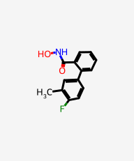 Cc1cc(-c2ccccc2C(=O)NO)ccc1F